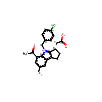 CC(=O)c1cc(C)cc2c3c(n(Cc4ccc(Cl)cc4)c12)[C@H](CC(=O)O)CC3